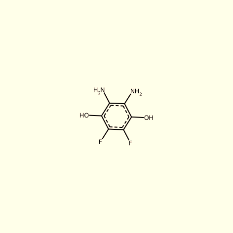 Nc1c(N)c(O)c(F)c(F)c1O